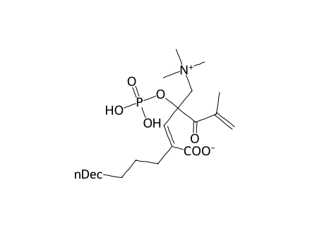 C=C(C)C(=O)C(C=C(CCCCCCCCCCCCC)C(=O)[O-])(C[N+](C)(C)C)OP(=O)(O)O